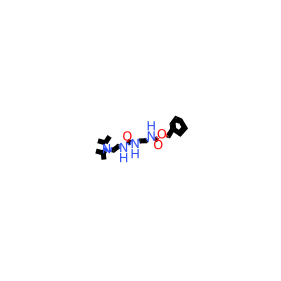 CC(C)N(CCNC(=O)NCCNC(=O)OCc1ccccc1)C(C)C